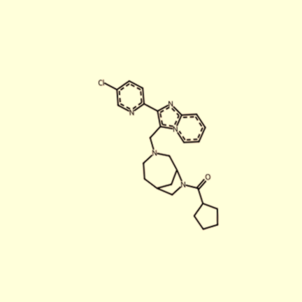 O=C(C1CCCC1)N1CC2CCN(Cc3c(-c4ccc(Cl)cn4)nc4ccccn34)CC1C2